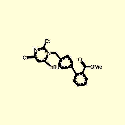 CCCCc1cc(=O)nc(CC)n1Cc1ccc(-c2ccccc2C(=O)OC)cc1